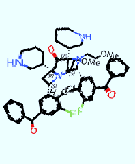 COCCN1[C@H](c2cc(C(=O)c3ccccc3)cc(F)c2C)C[C@]1(C(=O)[C@]1(C2CCCNC2)C[C@@H](c2cc(C(=O)c3ccccc3)cc(F)c2C)N1CCOC)C1CCCNC1